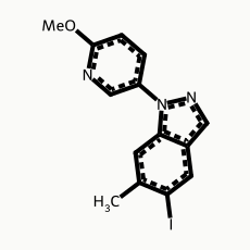 COc1ccc(-n2ncc3cc(I)c(C)cc32)cn1